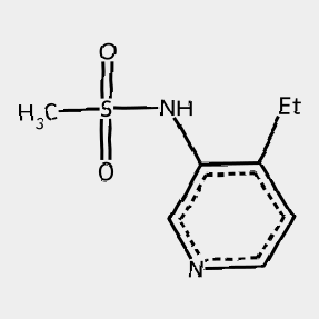 CCc1ccncc1NS(C)(=O)=O